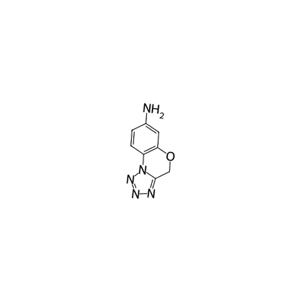 Nc1ccc2c(c1)OCc1nnnn1-2